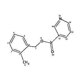 Cc1ccccc1COC(=O)c1cccnc1